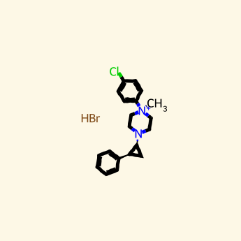 Br.C[N+]1(c2ccc(Cl)cc2)CCN([C@@H]2C[C@H]2c2ccccc2)CC1